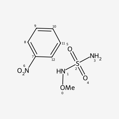 CONS(N)(=O)=O.O=[N+]([O-])c1ccccc1